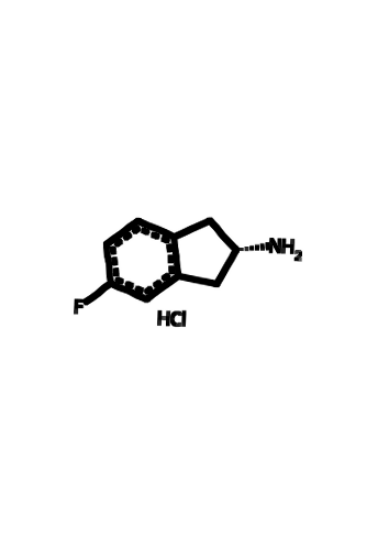 Cl.N[C@H]1Cc2ccc(F)cc2C1